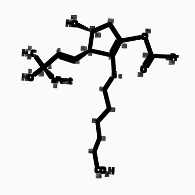 CCCCC[C@](C)(O)C=C[C@@H]1C(SCCCCCC(=O)O)=C(OC(=O)CCC)C[C@H]1O